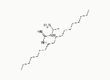 CC(N)NC(=N)N.CCCCCCCCCCCCCCCCCC